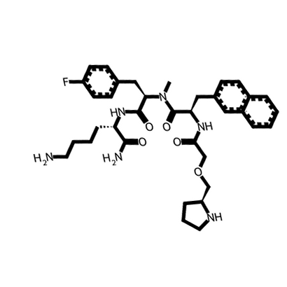 CN(C(=O)[C@@H](Cc1ccc2ccccc2c1)NC(=O)COC[C@@H]1CCCN1)[C@H](Cc1ccc(F)cc1)C(=O)N[C@@H](CCCCN)C(N)=O